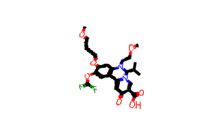 COCCCOc1cc2c(cc1OC(F)F)-c1cc(=O)c(C(=O)O)cn1C(C(C)C)N2CCOC